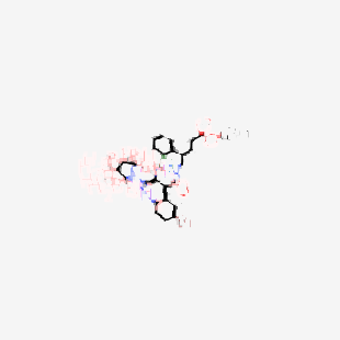 BC1(B)N(c2nc3ccc(Br)cc3c(C(=O)NCC(CCC(=O)OC(C)(C)C)c3ccccc3Cl)c2C)C(B)(B)C(B)(B)C1(B)B